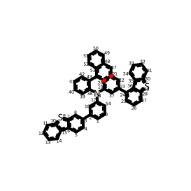 c1cc(-c2ccc3c(c2)sc2ccccc23)cc(N(c2cccc(-c3cccc4sc5ccccc5c34)c2)c2ccccc2-c2cccc3ccccc23)c1